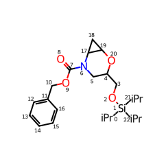 CC(C)[Si](OCC1CN(C(=O)OCc2ccccc2)C2CC2O1)(C(C)C)C(C)C